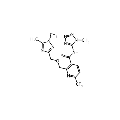 Cc1nc(COCc2nc(C(F)(F)F)ccc2C(=S)Nc2nnnn2C)nn1C